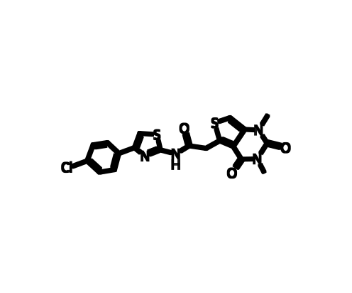 Cn1c(=O)c2c(CC(=O)Nc3nc(-c4ccc(Cl)cc4)cs3)scc2n(C)c1=O